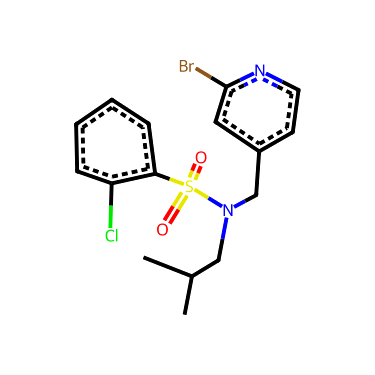 CC(C)CN(Cc1ccnc(Br)c1)S(=O)(=O)c1ccccc1Cl